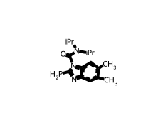 Cc1cc2nc(P)n(C(=O)N(C(C)C)C(C)C)c2cc1C